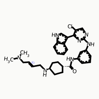 CN(C)C/C=C/CN[C@H]1CC[C@H](C(=O)Nc2cccc(Nc3ncc(Cl)c(-c4c[nH]c5ccccc45)n3)c2)CC1